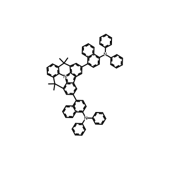 CC1(C)c2cccc3c2-n2c4c1cc(-c1ccc(N(c5ccccc5)c5ccccc5)c5ccccc15)cc4c1cc(-c4ccc(N(c5ccccc5)c5ccccc5)c5ccccc45)cc(c12)C3(C)C